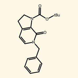 CC(C)(C)OC(=O)N1CCc2ccn(Cc3ccccc3)c(=O)c21